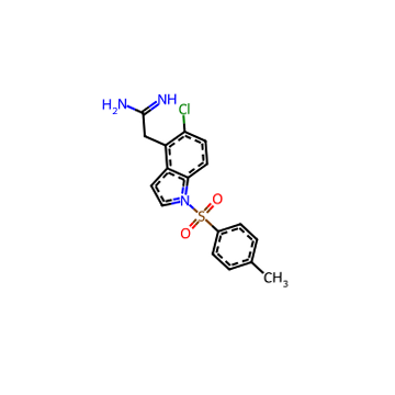 Cc1ccc(S(=O)(=O)n2ccc3c(CC(=N)N)c(Cl)ccc32)cc1